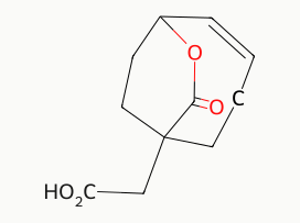 O=C(O)CC12CC/C=C\C(CC1)OC2=O